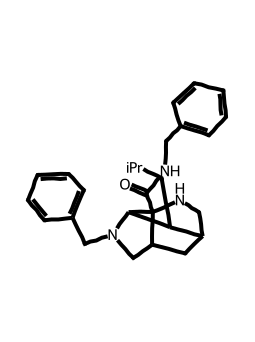 CC(C)CC1C2CNC3(C(=O)NCc4ccccc4)C(C2)CN(Cc2ccccc2)C13